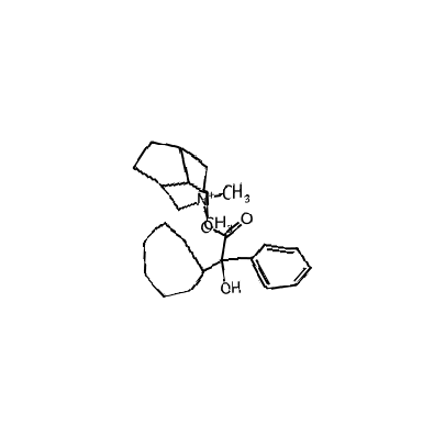 C[N+]1(C)CC2CCC(C1)C2COC(=O)C(O)(c1ccccc1)C1CCCCCC1